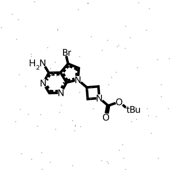 CC(C)(C)OC(=O)N1CC(n2cc(Br)c3c(N)ncnc32)C1